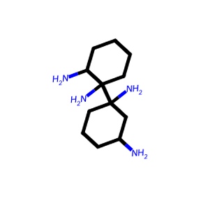 NC1CCCC(N)(C2(N)CCCCC2N)C1